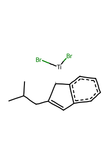 CC(C)CC1=Cc2ccccc2[CH]1.[Br][Ti][Br]